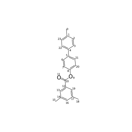 Cc1ccc(-c2ccc(OC(=O)c3cc(C)cc(C)c3)cc2)cc1